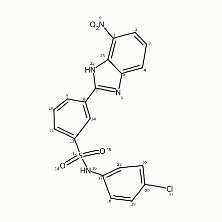 O=[N+]([O-])c1cccc2nc(-c3cccc(S(=O)(=O)Nc4ccc(Cl)cc4)c3)[nH]c12